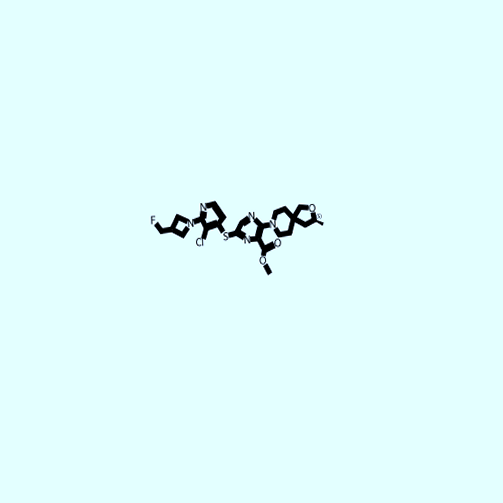 COC(=O)c1nc(Sc2ccnc(N3CC(CF)C3)c2Cl)cnc1N1CCC2(CC1)CO[C@@H](C)C2